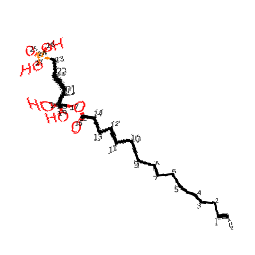 CCCCCCCCCCCCCCCC(=O)OC(O)(O)CCCP(=O)(O)O